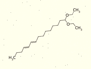 CCCC=CC=CCCCCCCCC(OCC)OCC